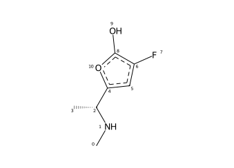 CN[C@H](C)c1cc(F)c(O)o1